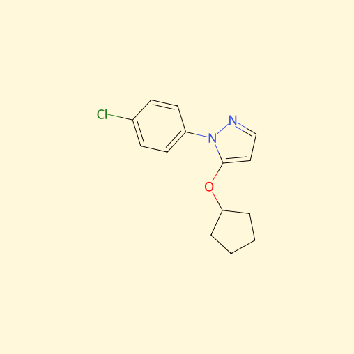 Clc1ccc(-n2nccc2OC2CCCC2)cc1